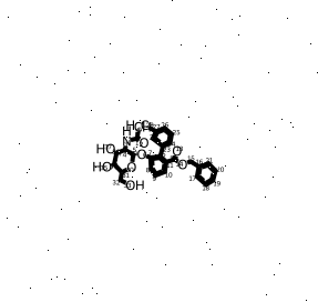 CC(=O)NC1[C@H](Oc2cccc(C(=O)OCc3ccccc3)c2-c2cccc(C)c2)OC(CO)[C@H](O)[C@@H]1O